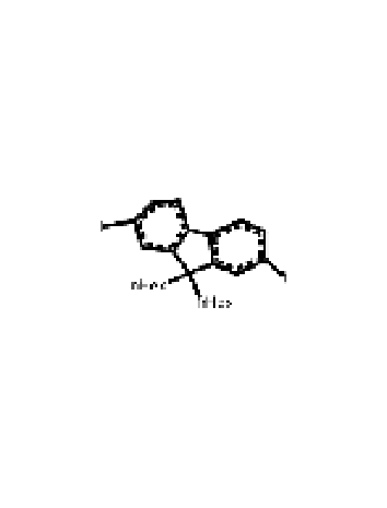 CCCCCCC1(CCCCCC)c2cc(I)ccc2-c2ccc(I)cc21